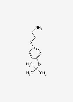 CC(C)(C)Oc1ccc(SCCN)cc1